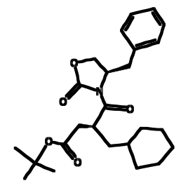 CC(C)(C)OC(=O)C[C@H](CC1CCCCC1)C(=O)N1C(=O)OC[C@H]1Cc1ccccc1